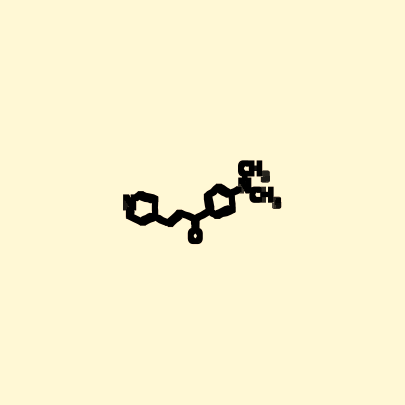 CN(C)c1ccc(C(=O)C=Cc2ccncc2)cc1